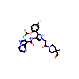 CC1(C=O)CCN(C(=O)CN2C=C(NC(=O)c3cnn4cccnc34)C(c3cc(Cl)ccc3OC(F)F)N2)CC1